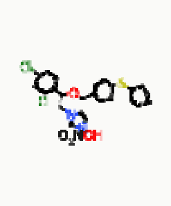 Clc1ccc(C(Cn2ccnc2)OCc2ccc(Sc3ccccc3)cc2)c(Cl)c1.O=[N+]([O-])O